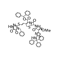 CON=C(C(=O)NC1C(=O)N2C(C(=O)OC(c3ccccc3)c3ccccc3)=C(C=CSc3n[nH]c(=O)c(=O)n3Cc3ccccc3)CSC12)c1csc(NC(c2ccccc2)(c2ccccc2)c2ccccc2)n1